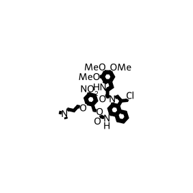 COc1cc2cc(C(=O)N3CC(CCl)c4c3cc(NC(=O)OCc3ccc([N+](=O)[O-])cc3OCCCN(C)C)c3ccccc43)[nH]c2c(OC)c1OC